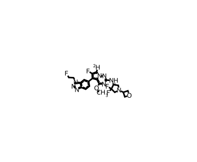 [2H]c1c(F)c(-c2ccc3nnn(CCF)c3c2)c2c(OC)nc(N[C@@H]3CN(C4COC4)CC3(F)F)nn12